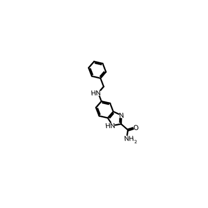 NC(=O)c1nc2cc(NCc3ccccc3)ccc2[nH]1